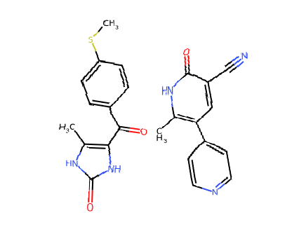 CSc1ccc(C(=O)c2[nH]c(=O)[nH]c2C)cc1.Cc1[nH]c(=O)c(C#N)cc1-c1ccncc1